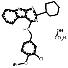 CC(C)Oc1ccc(CNc2nc(C3CCCCC3)nc3sc4ccccc4c23)cc1Cl.O=C(O)O